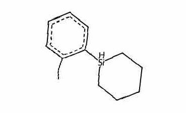 Cc1ccccc1[SiH]1CCCCC1